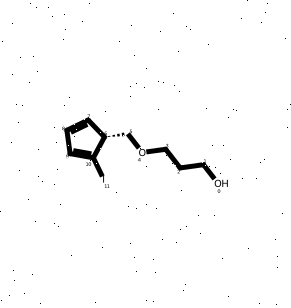 OCCCOC[C@H]1C=CC=C1I